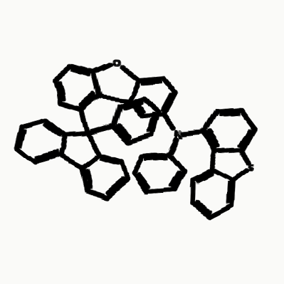 c1ccc(N(c2ccc3oc4cccc(C5(c6ccccc6)c6ccccc6-c6ccccc65)c4c3c2)c2cccc3sc4ccccc4c23)cc1